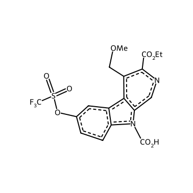 CCOC(=O)c1ncc2c(c1COC)c1cc(OS(=O)(=O)C(F)(F)F)ccc1n2C(=O)O